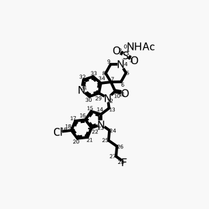 CC(=O)NS(=O)(=O)N1CCC2(CC1)C(=O)N(Cc1cc3cc(Cl)ccc3n1CCCCF)c1cnccc12